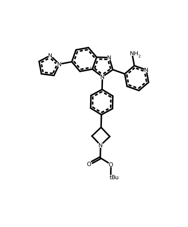 CC(C)(C)OC(=O)N1CC(c2ccc(-n3c(-c4cccnc4N)nc4ccc(-n5cccn5)cc43)cc2)C1